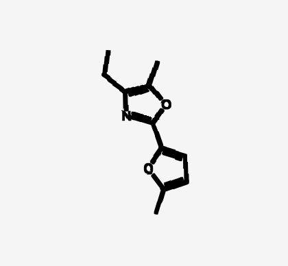 CCc1nc(-c2ccc(C)o2)oc1C